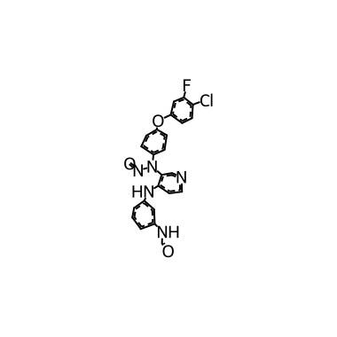 O=CNc1cccc(Nc2ccncc2N(N=O)c2ccc(Oc3ccc(Cl)c(F)c3)cc2)c1